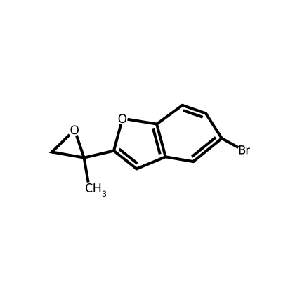 CC1(c2cc3cc(Br)ccc3o2)CO1